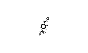 O=C(CBr)c1ccc(CCCl)cc1